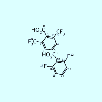 O=C(O)c1c(C(F)(F)F)cccc1C(F)(F)F.O=C(O)c1c(F)cccc1F